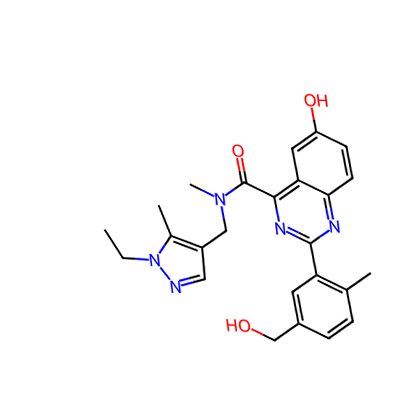 CCn1ncc(CN(C)C(=O)c2nc(-c3cc(CO)ccc3C)nc3ccc(O)cc23)c1C